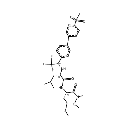 CON(C)C(=O)[C@H](CCSC)NC(=O)[C@H](CC(C)C)N[C@@H](c1ccc(-c2ccc(S(C)(=O)=O)cc2)cc1)C(F)(F)F